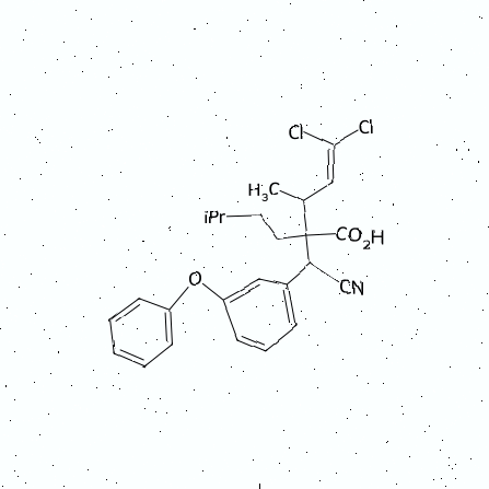 CC(C)CCC(C(=O)O)(C(C)C=C(Cl)Cl)C(C#N)c1cccc(Oc2ccccc2)c1